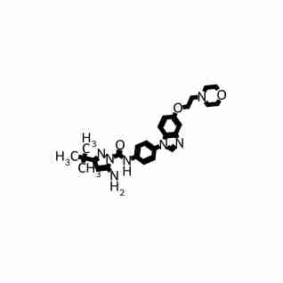 CC(C)(C)c1cc(N)n(C(=O)Nc2ccc(-n3cnc4cc(OCCN5CCOCC5)ccc43)cc2)n1